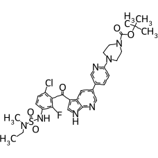 CCN(C)S(=O)(=O)Nc1ccc(Cl)c(C(=O)c2c[nH]c3ncc(-c4ccc(N5CCN(C(=O)OC(C)(C)C)CC5)nc4)cc23)c1F